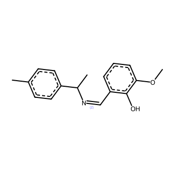 COc1cccc(/C=N\C(C)c2ccc(C)cc2)c1O